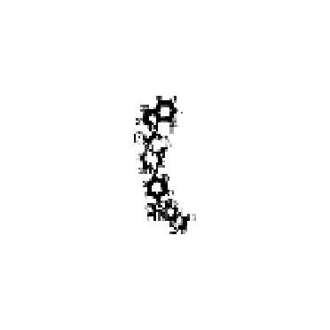 CC1CN(c2ccc(S(=O)(=O)Nc3nccs3)cc2)CCN1C(=O)[C@@H](C)n1ccc2cccc(F)c21